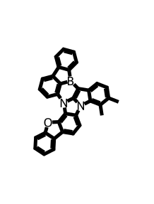 Cc1ccc2c3c4n(c5c6oc7ccccc7c6ccc5n4c2c1C)-c1cccc2c1B3c1ccccc1-2